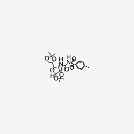 Cc1ccc(S(=O)(=O)NC(=O)N[C@H]2[C@H]3OC(C)(C)O[C@H]3O[C@@H]2[C@H]2COC(C)(C)O2)cc1